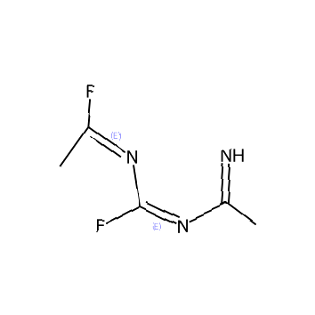 CC(=N)/N=C(F)\N=C(/C)F